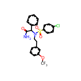 NC(=O)C(c1ccccc1)N(CCc1cccc(OC(F)(F)F)c1)S(=O)(=O)c1ccc(Cl)cc1